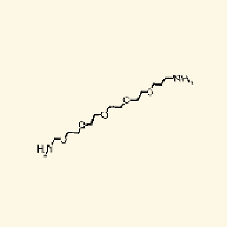 NCCCOCCOCCOCCOCCOCN